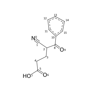 N#CC(CCC(=O)O)C(=O)c1ccccc1